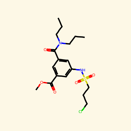 CCCN(CCC)C(=O)c1cc(NS(=O)(=O)CCCCl)cc(C(=O)OC)c1